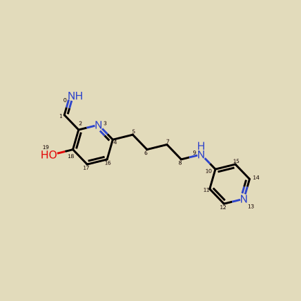 N=Cc1nc(CCCCNc2ccncc2)ccc1O